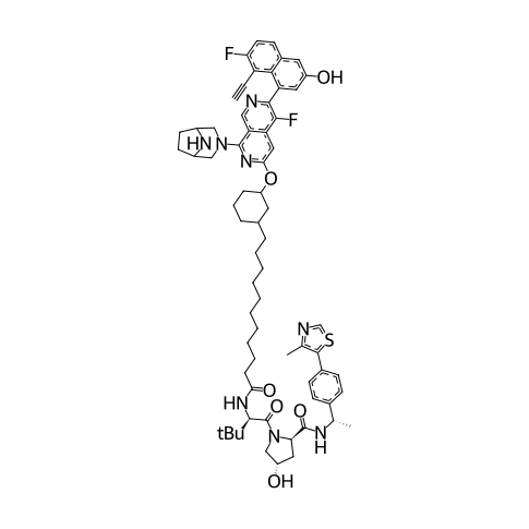 C#Cc1c(F)ccc2cc(O)cc(-c3ncc4c(N5CC6CCC(C5)N6)nc(OC5CCCC(CCCCCCCCCCC(=O)N[C@@H](C(=O)N6C[C@@H](O)C[C@@H]6C(=O)N[C@@H](C)c6ccc(-c7scnc7C)cc6)C(C)(C)C)C5)cc4c3F)c12